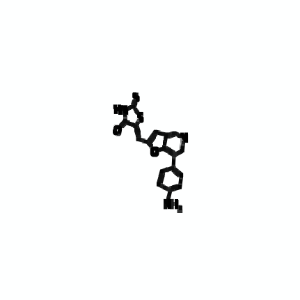 Nc1ccc(-c2cncc3cc(/C=C4\SC(=S)NC4=O)oc23)cc1